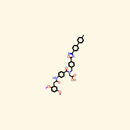 COc1ccc(OI)c(CC(=O)Nc2ccc(C(=O)N(CC(=O)O)Cc3ccc(-c4nc(-c5ccc(-c6ccc(C)cc6)cc5)no4)cc3)cc2)c1